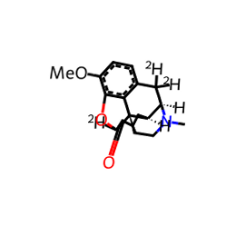 [2H]C1([2H])c2ccc(OC)c3c2[C@]24CCN(C)[C@H]1[C@@H]2CCC(=O)C4([2H])O3